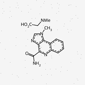 CNCC(=O)O.Cn1cnc2c(C(N)=O)nc3ccccc3c21